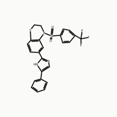 O=S(=O)(c1ccc(C(F)(F)F)cc1)N1CCSc2ccc(-c3ncc(-c4ccccc4)[nH]3)cc21